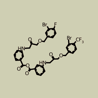 O=C(CNc1cccc(C(=O)OC(=O)c2cccc(NCC(=O)COCc3ccc(C(F)(F)F)c(Br)c3)c2)c1)COCc1ccc(F)c(Br)c1